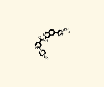 CC(C)N1CCN(c2cc(C(=O)Nc3cc4cc(-c5cn(C)nn5)ccc4cn3)ccn2)CC1